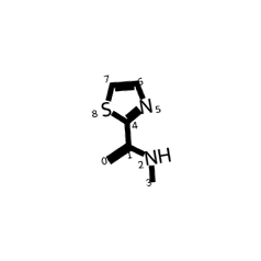 C=C(NC)c1nccs1